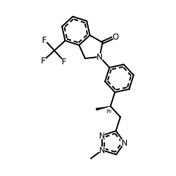 C[C@H](Cc1ncn(C)n1)c1cccc(N2Cc3c(cccc3C(F)(F)F)C2=O)c1